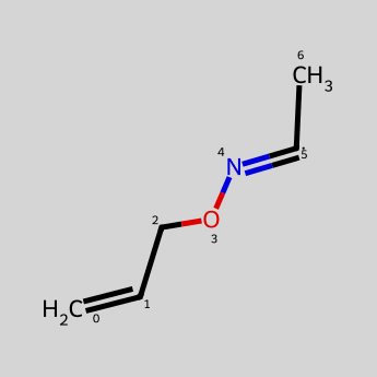 C=CCO/N=[C]/C